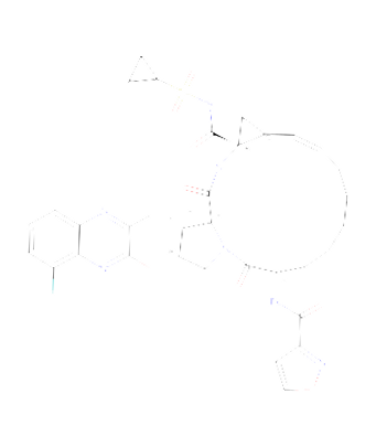 Cc1nc2cccc(F)c2nc1O[C@@H]1C[C@H]2C(=O)N[C@]3(C(=O)NS(=O)(=O)C4CC4)C[C@H]3C=CCCCCC[C@H](NC(=O)c3ccon3)C(=O)N2C1